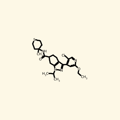 CCOc1cc(-c2nn(C(C)C)c3c2CCC(C(=O)NC2(C)CCSCC2)C3)c(Cl)cn1